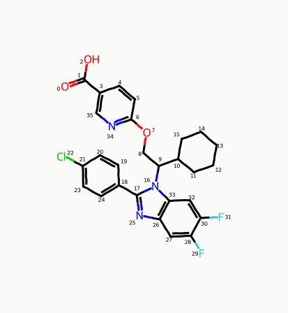 O=C(O)c1ccc(OCC(C2CCCCC2)n2c(-c3ccc(Cl)cc3)nc3cc(F)c(F)cc32)nc1